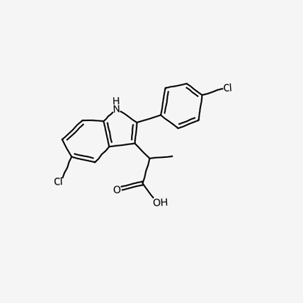 CC(C(=O)O)c1c(-c2ccc(Cl)cc2)[nH]c2ccc(Cl)cc12